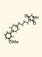 COc1cccc(N2CCN(CCCCN3C(=O)CNC3=O)CC2)c1